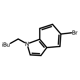 CCC(C)Cn1ccc2cc(Br)ccc21